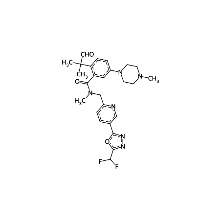 CN1CCN(c2ccc(C(C)(C)C=O)c(C(=O)N(C)Cc3ccc(-c4nnc(C(F)F)o4)cn3)c2)CC1